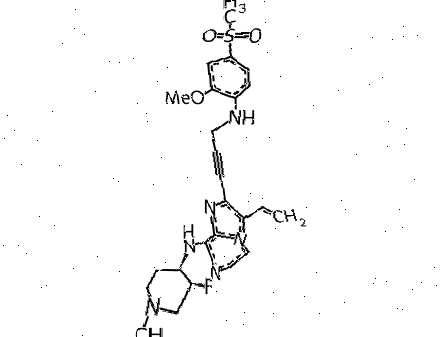 C=Cc1c(C#CCNc2ccc(S(C)(=O)=O)cc2OC)nc2c(N[C@@H]3CCN(C)C[C@@H]3F)nccn12